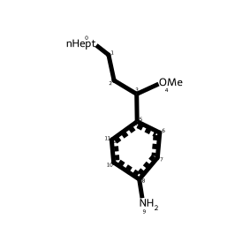 CCCCCCCCCC(OC)c1ccc(N)cc1